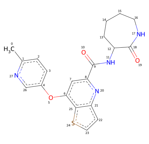 Cc1ccc(Oc2cc(C(=O)NC3CCCCNC3=O)nc3ccsc23)cn1